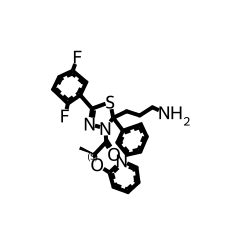 C[C@H](Oc1ccccn1)C(=O)N1N=C(c2cc(F)ccc2F)SC1(CCCN)c1ccccc1